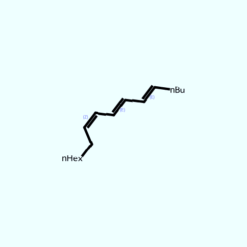 [CH2]CCCCCC\C=C/C=C/C=C/CCCC